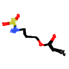 C=CC(=O)OCCCN[SH](=O)=O